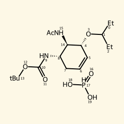 CCC(CC)O[C@@H]1C=CC[C@H](NC(=O)OC(C)(C)C)[C@H]1NC(C)=O.O=[PH](O)O